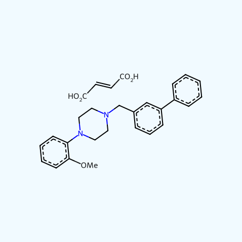 COc1ccccc1N1CCN(Cc2cccc(-c3ccccc3)c2)CC1.O=C(O)C=CC(=O)O